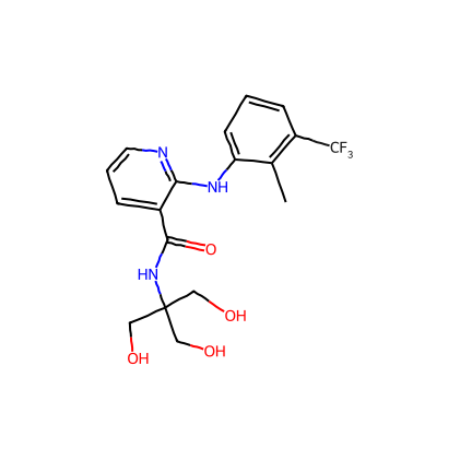 Cc1c(Nc2ncccc2C(=O)NC(CO)(CO)CO)cccc1C(F)(F)F